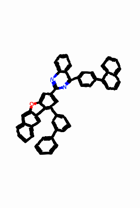 c1ccc(-c2cccc(-c3cc(-c4nc(-c5ccc(-c6cccc7ccccc67)cc5)c5ccccc5n4)cc4oc5cc6ccccc6cc5c34)c2)cc1